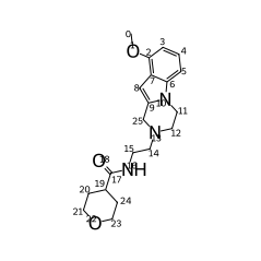 COc1cccc2c1cc1n2CCN(CCNC(=O)C2CCOCC2)C1